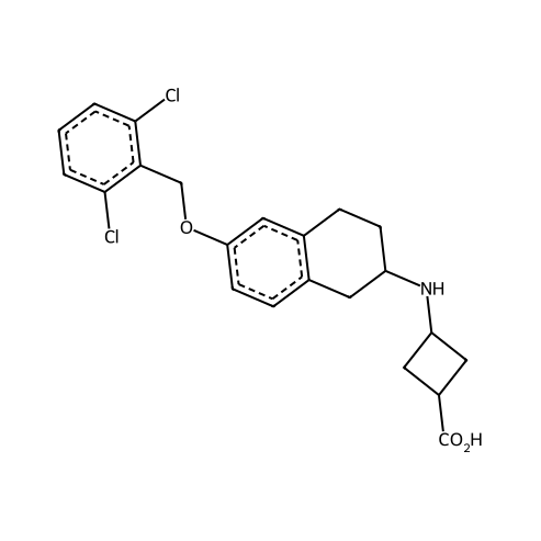 O=C(O)C1CC(NC2CCc3cc(OCc4c(Cl)cccc4Cl)ccc3C2)C1